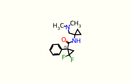 CN(C)CC1(NC(=O)[C@@]2(c3ccccc3)CC2(F)F)CC1